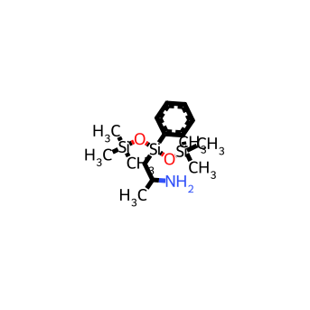 CC(N)C[Si](O[Si](C)(C)C)(O[Si](C)(C)C)c1ccccc1